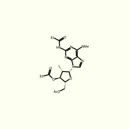 CCC(=O)Nc1nc(NC)c2ncn([C@@H]3O[C@H](COC(C)=O)[C@@H](OC(=O)CC)[C@@H]3C)c2n1